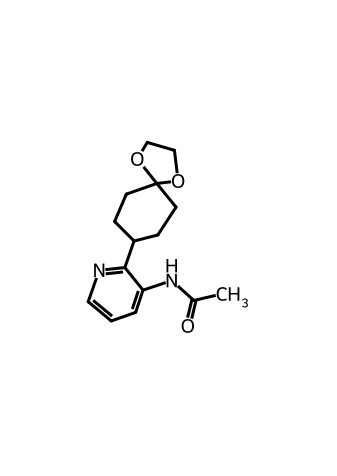 CC(=O)Nc1cccnc1C1CCC2(CC1)OCCO2